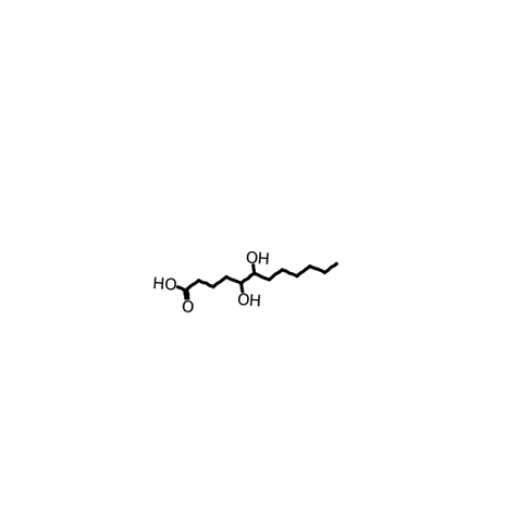 CCCCCCC(O)C(O)CCCC(=O)O